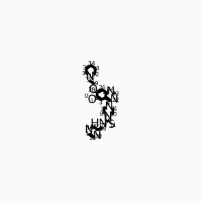 COc1cc2c(N3CCN(C(=S)NCc4cnccn4)CC3)ncnc2cc1OCCN1CCCCC1